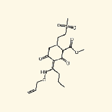 C=CCON/C(CCC)=C1\C(=O)CC(CCS(C)(=O)=O)C(C(=O)OC)C1=O